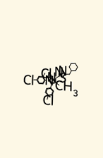 Cc1c(-c2nnc(CC3CCCCC3)s2)nn(-c2ccc(Cl)cc2Cl)c1-c1ccc(Cl)cc1